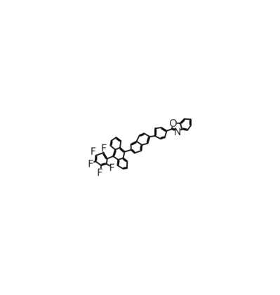 Fc1c(F)c(F)c(-c2c3ccccc3c(-c3ccc4cc(-c5ccc(-c6nc7ccccc7o6)cc5)ccc4c3)c3ccccc23)c(F)c1F